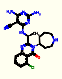 C[C@H](Nc1nc(N)nc(N)c1C#N)c1nc2cccc(Cl)c2c(=O)n1[C@@H]1CCCNCC1